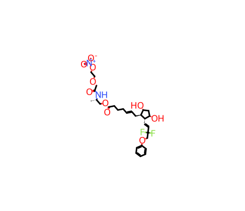 C[C@@H](COC(=O)CCCC=CC[C@@H]1[C@@H](C=CC(F)(F)COc2ccccc2)[C@H](O)C[C@@H]1O)NC(=O)COCCO[N+](=O)[O-]